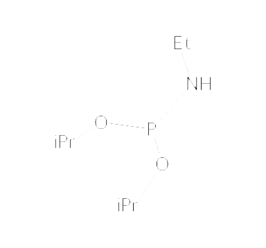 CCNP(OC(C)C)OC(C)C